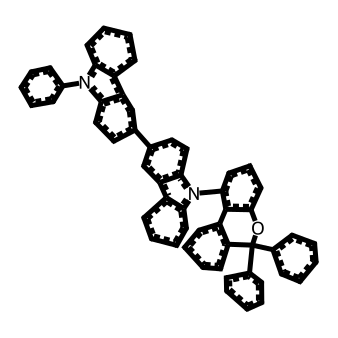 c1ccc(-n2c3ccccc3c3cc(-c4ccc5c(c4)c4ccccc4n5-c4cccc5c4-c4ccccc4C(c4ccccc4)(c4ccccc4)O5)ccc32)cc1